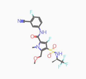 COCc1c(S(=O)(=O)N[C@H](C)C(F)(F)F)c(F)c(C(=O)Nc2ccc(F)c(C#N)c2)n1C